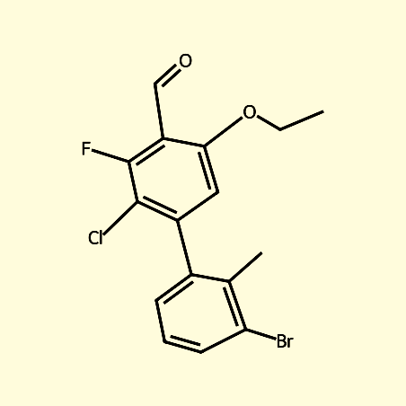 CCOc1cc(-c2cccc(Br)c2C)c(Cl)c(F)c1C=O